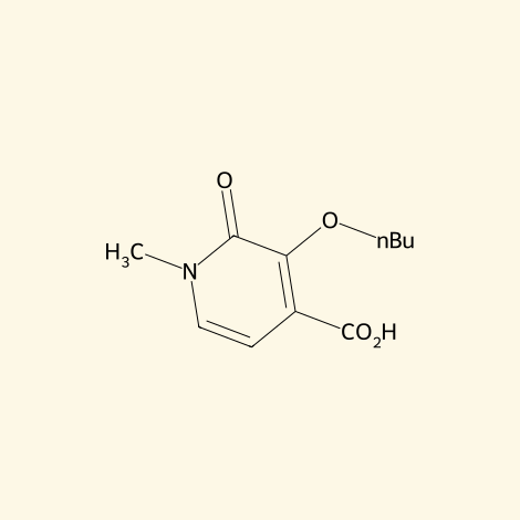 CCCCOc1c(C(=O)O)ccn(C)c1=O